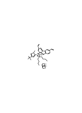 C=Cc1ccc2c(c1)-c1cc(C=C)c[c]([Zr+2]([C]3=CC(C(C)(C)C)=CC3C)=[C](CCCC)CCCC)c1C2.[Cl-].[Cl-]